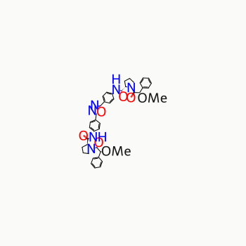 COC(C(=O)N1CCC[C@H]1C(=O)Nc1ccc(-c2nnc(-c3ccc(NC(=O)[C@@H]4CCCN4C(=O)C(OC)c4ccccc4)cc3)o2)cc1)c1ccccc1